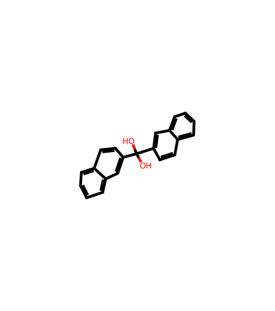 OC(O)(c1ccc2ccccc2c1)c1ccc2ccccc2c1